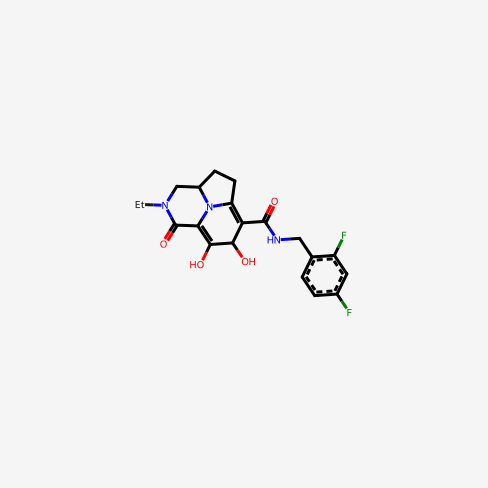 CCN1CC2CCC3=C(C(=O)NCc4ccc(F)cc4F)C(O)C(O)=C(C1=O)N32